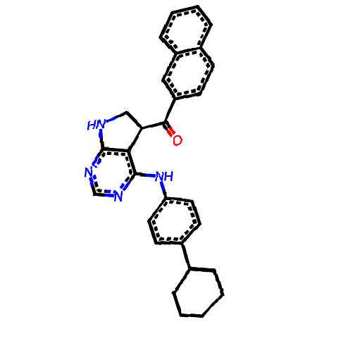 O=C(c1ccc2ccccc2c1)C1CNc2ncnc(Nc3ccc(C4CCCCC4)cc3)c21